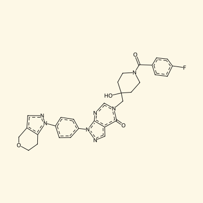 O=C(c1ccc(F)cc1)N1CCC(O)(Cn2cnc3c(cnn3-c3ccc(-n4ncc5c4CCOC5)cc3)c2=O)CC1